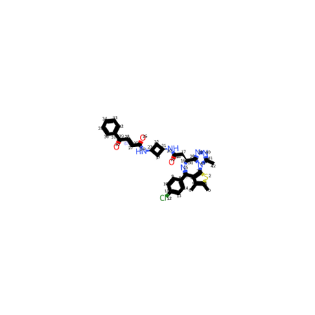 Cc1sc2c(c1C)C(c1ccc(Cl)cc1)=N[C@@H](CC(=O)N[C@H]1C[C@H](NC(=O)/C=C/C(=O)c3ccccc3)C1)c1nnc(C)n1-2